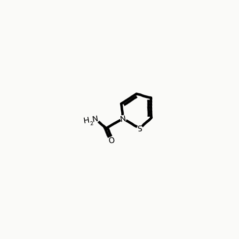 NC(=O)N1C=CC=CS1